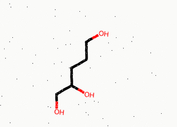 OCC[CH]C(O)CO